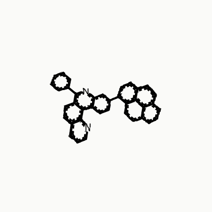 c1ccc(-c2nc3cc(-c4ccc5ccc6cccc7ccc4c5c67)ccc3c3c2ccc2cccnc23)cc1